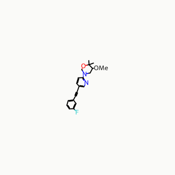 COC1CN(c2ccc(C#Cc3cccc(F)c3)cn2)COC1(C)C